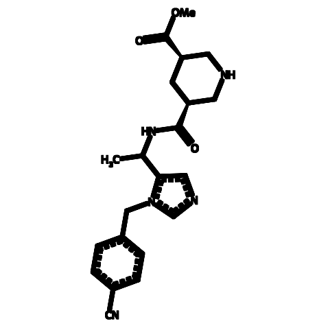 COC(=O)[C@H]1CNC[C@@H](C(=O)NC(C)c2cncn2Cc2ccc(C#N)cc2)C1